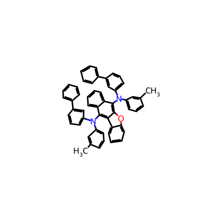 Cc1cccc(N(c2cccc(-c3ccccc3)c2)c2c3ccccc3c(N(c3cccc(C)c3)c3cccc(-c4ccccc4)c3)c3c2oc2ccccc23)c1